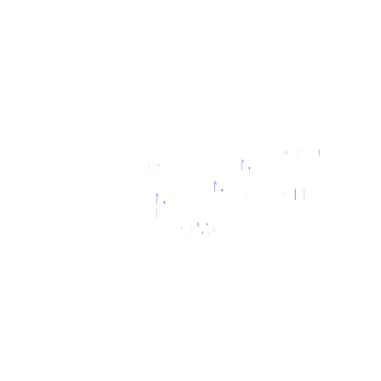 CCOC(=O)c1nc(N2CC[C@@H](NC(=O)OCc3ccccc3)[C@@H](OC)C2)oc1C